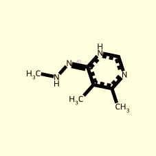 CN/N=c1/[nH]cnc(C)c1C